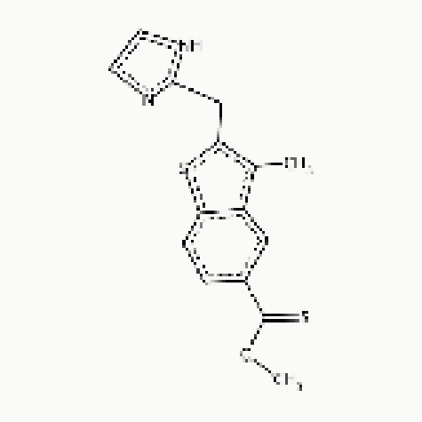 COC(=S)c1ccc2sc(Cc3ncc[nH]3)c(C)c2c1